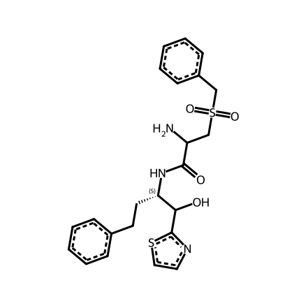 NC(CS(=O)(=O)Cc1ccccc1)C(=O)N[C@@H](CCc1ccccc1)C(O)c1nccs1